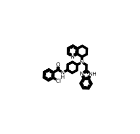 O=C(NC1CCC(N(Cc2nc3ccccc3[nH]2)C2CCCc3cccnc32)CC1)c1ccccc1Cl